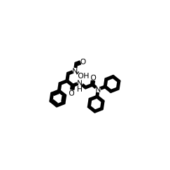 O=CN(O)CC(Cc1ccccc1)C(=O)NCC(=O)N(C1CCCCC1)C1CCCCC1